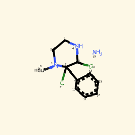 CCCCN1CCNC(Cl)C1(Cl)c1ccccc1.N